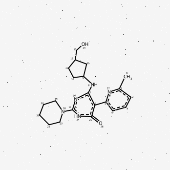 Cc1cccc(-c2c(NC3CCC(CO)C3)nc(N3CCCCC3)[nH]c2=O)n1